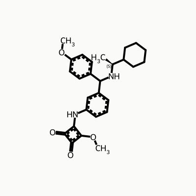 COc1ccc(C(N[C@@H](C)C2CCCCC2)c2cccc(Nc3c(OC)c(=O)c3=O)c2)cc1